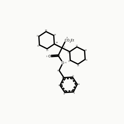 CCOC(=O)C(C(=O)OCc1ccccc1)(C1CCCCC1)C1CCCCC1